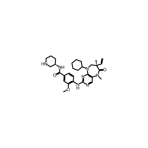 C=C[C@@]1(C)CN(C2CCCCC2)c2nc(Nc3ccc(C(=O)N[C@@H]4CCCNC4)cc3OC)ncc2N(C)C1=O